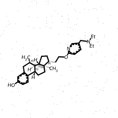 CCN(CC)Cc1ccc(OCC[C@H]2CC[C@H]3[C@@H]4[C@H](C)Cc5cc(O)ccc5[C@H]4CC[C@]23C)nc1